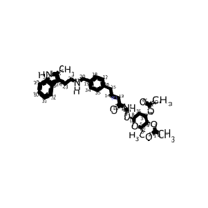 CC(=O)O[C@@H]1[C@H](C)O[C@@H](ONC(=O)/C=C/Cc2ccc(CNCCc3c(C)[nH]c4ccccc34)cc2)C[C@@H]1OC(C)=O